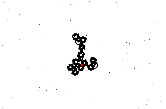 c1ccc(C2(c3ccccc3)c3ccccc3-c3c(N(c4ccc(-c5ccc(-c6cccc7c6oc6ccccc67)cc5)cc4)c4ccc(-c5cccc6oc7ccccc7c56)cc4)cccc32)cc1